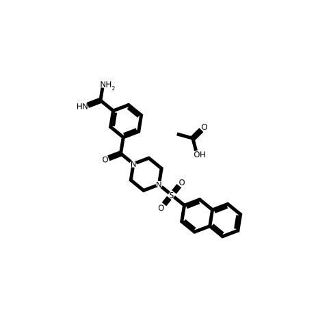 CC(=O)O.N=C(N)c1cccc(C(=O)N2CCN(S(=O)(=O)c3ccc4ccccc4c3)CC2)c1